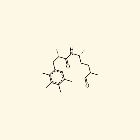 Cc1cc(C[C@H](C)C(=O)N[C@H](C)CCC(C)C=O)c(C)c(C)c1C